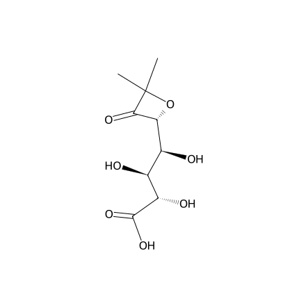 CC1(C)O[C@H]([C@@H](O)[C@H](O)[C@H](O)C(=O)O)C1=O